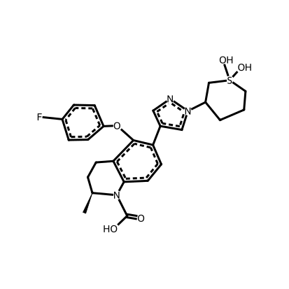 C[C@H]1CCc2c(ccc(-c3cnn(C4CCCS(O)(O)C4)c3)c2Oc2ccc(F)cc2)N1C(=O)O